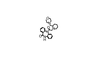 O=C1Nc2ccccc2N(C(=O)CN2CCCCC2CN2CCOCC2)c2ccccc21